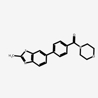 Cc1nc2ccc(-c3ccc(C(=O)N4CCOCC4)cc3)cc2s1